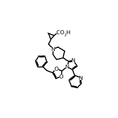 O=C(O)C1CC1CN1CCC(c2ncc(-c3ccccn3)n2C2OC=C(Cc3ccccc3)O2)CC1